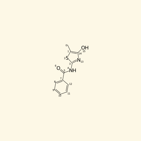 Cc1sc(NC(=O)c2ccccc2)nc1O